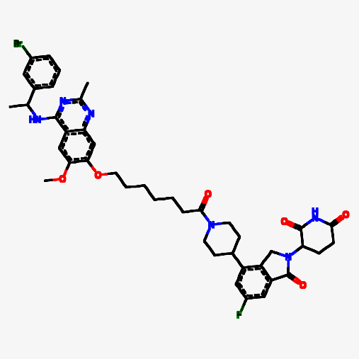 COc1cc2c(NC(C)c3cccc(Br)c3)nc(C)nc2cc1OCCCCCCC(=O)N1CCC(c2cc(F)cc3c2CN(C2CCC(=O)NC2=O)C3=O)CC1